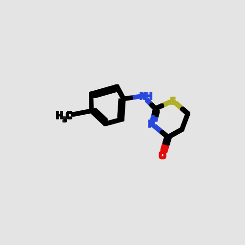 Cc1ccc(NC2=NC(=O)CCS2)cc1